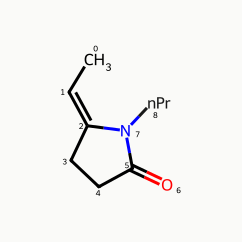 CC=C1CCC(=O)N1CCC